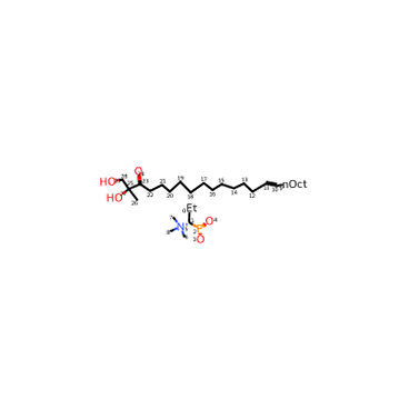 CCC(P(=O)=O)[N+](C)(C)C.CCCCCCCCC=CCCCCCCCCCCCC(=O)C(C)(O)CO